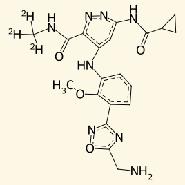 [2H]C([2H])([2H])NC(=O)c1nnc(NC(=O)C2CC2)cc1Nc1cccc(-c2noc(CN)n2)c1OC